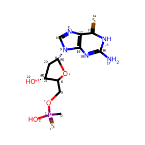 CP(O)(=S)OCC1O[C@@H](n2cnc3c(=S)[nH]c(N)nc32)C[C@H]1O